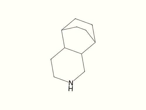 C1CC2C3CCC(CC3)C2CN1